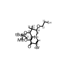 COc1c2n(cc(Br)c1=O)CC(OCCI)C(C)(C)C2O[Si](C)(C)C(C)(C)C